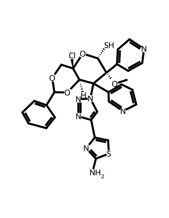 CO[C@@]1(c2ccncc2)[C@@H](S)O[C@@]2(Cl)COC(c3ccccc3)O[C@@H]2C1(c1cccnc1)n1cc(-c2csc(N)n2)nn1